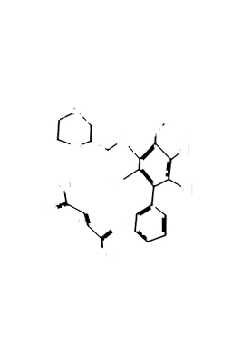 COc1c(Cl)c(Cl)c(-c2ccccc2)c(Cl)c1OC[C@@H]1CNCCO1.O=C(O)/C=C/C(=O)O